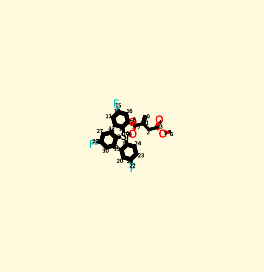 C=C(CC(=O)OC)C(=O)O[Si](c1ccc(F)cc1)(c1ccc(F)cc1)c1ccc(F)cc1